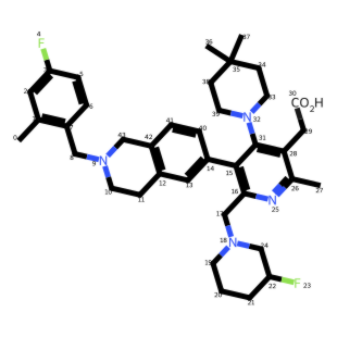 Cc1cc(F)ccc1CN1CCc2cc(-c3c(CN4CCCC(F)C4)nc(C)c(CC(=O)O)c3N3CCC(C)(C)CC3)ccc2C1